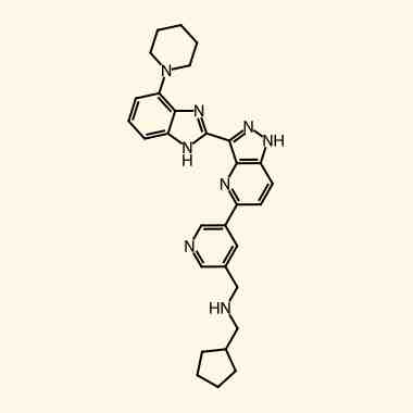 c1cc(N2CCCCC2)c2nc(-c3n[nH]c4ccc(-c5cncc(CNCC6CCCC6)c5)nc34)[nH]c2c1